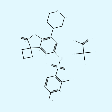 COc1ccc(S(=O)(=O)Nc2cc(C3CCNCC3)c3c(c2)C2(CCC2)C(=O)N3)c(F)c1.O=C(O)C(F)(F)F